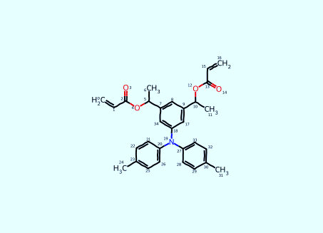 C=CC(=O)OC(C)c1cc(C(C)OC(=O)C=C)cc(N(c2ccc(C)cc2)c2ccc(C)cc2)c1